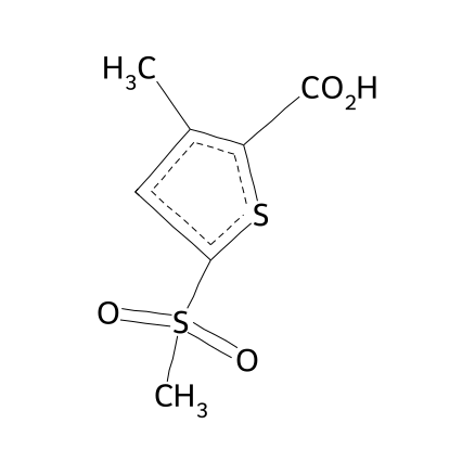 Cc1cc(S(C)(=O)=O)sc1C(=O)O